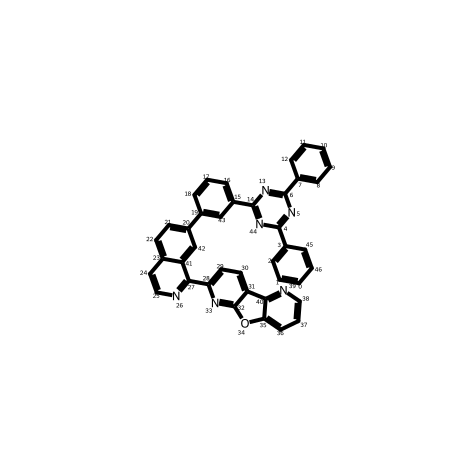 c1ccc(-c2nc(-c3ccccc3)nc(-c3cccc(-c4ccc5ccnc(-c6ccc7c(n6)oc6cccnc67)c5c4)c3)n2)cc1